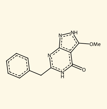 COc1[nH]nc2nc(Cc3ccccc3)[nH]c(=O)c12